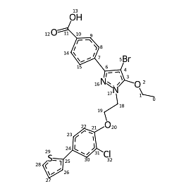 CCOc1c(Br)c(-c2ccc(C(=O)O)cc2)nn1CCOc1ccc(-c2cccs2)cc1Cl